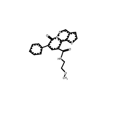 COCCNC(=O)c1cc(-c2ccccc2)c(=O)n2ncc3ccsc3c12